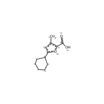 Cc1nc(C2CCCCC2)oc1C(=O)O